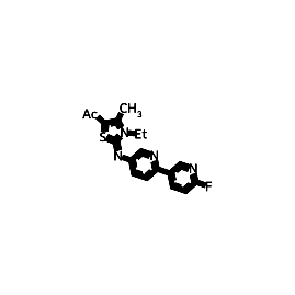 CCn1c(C)c(C(C)=O)sc1=Nc1ccc(-c2ccc(F)nc2)nc1